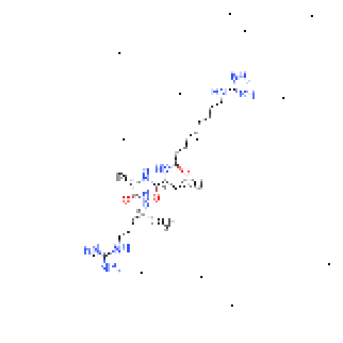 CC(C)[C@H](NC(=O)[C@H](CC(=O)O)NC(=O)CCCCCCCCNC(=N)N)C(=O)N[C@@H](CCCNC(=N)N)C(=O)O